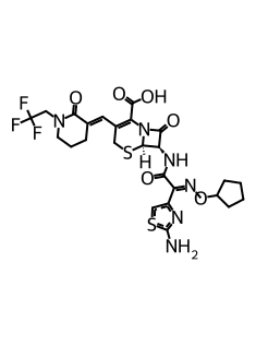 Nc1nc(C(=NOC2CCCC2)C(=O)N[C@@H]2C(=O)N3C(C(=O)O)=C(C=C4CCCN(CC(F)(F)F)C4=O)CS[C@H]23)cs1